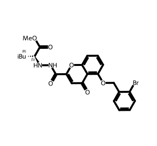 CC[C@@H](C)[C@H](NNC(=O)c1cc(=O)c2c(OCc3ccccc3Br)cccc2o1)C(=O)OC